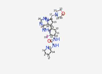 Cc1ccnc(NC(=O)Nc2ccc(-c3cc(CN4CCOCC4)n4ncnc(N)c34)cc2I)c1